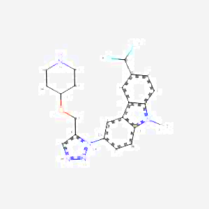 CCn1c2ccc(C(F)F)cc2c2cc(-n3nncc3COC3CCNCC3)ccc21